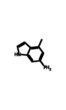 Cc1cc(P)cc2[nH]ccc12